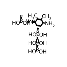 CC1=C(C)C(N)C=CC1=[N+]=[N-].OB(O)F.OB(O)F.OB(O)F.OB(O)F